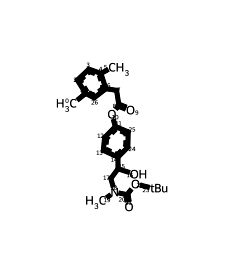 Cc1ccc(C)c(CC(=O)Oc2ccc(C(O)CN(C)C(=O)OC(C)(C)C)cc2)c1